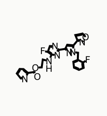 O=C(OCCNc1nc(-c2cc(-c3ccon3)n(Cc3ccccc3F)n2)ncc1F)c1ccccn1